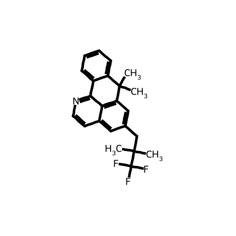 CC1(C)c2ccccc2-c2nccc3cc(CC(C)(C)C(F)(F)F)cc1c23